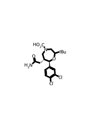 CC(C)(C)C1CN(C(=O)O)C[C@@H](CC(N)=O)[C@H](c2ccc(Cl)c(Cl)c2)O1